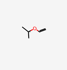 C=CO[C](C)C